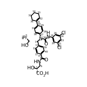 CC(C)CO.O=C(NC[C@@H](O)C(=O)O)c1ccc(CN(C(=O)Nc2cc(Cl)cc(Cl)c2)c2ccc(C3=CCCCC3)cc2)cc1